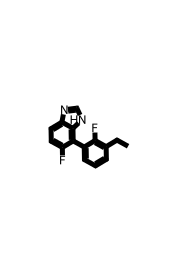 CCc1cccc(-c2c(F)ccc3nc[nH]c23)c1F